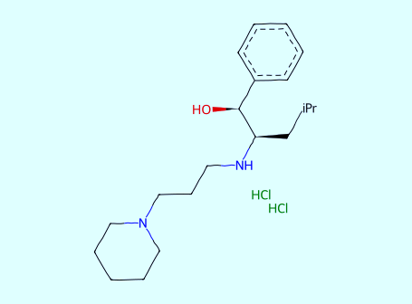 CC(C)C[C@@H](NCCCN1CCCCC1)[C@@H](O)c1ccccc1.Cl.Cl